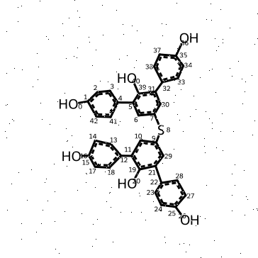 Oc1ccc(-c2cc(Sc3cc(-c4ccc(O)cc4)c(O)c(-c4ccc(O)cc4)c3)cc(-c3ccc(O)cc3)c2O)cc1